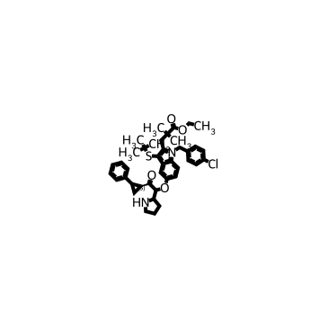 CCOC(=O)C(C)(C)Cc1c(SC(C)(C)C)c2cc(OC(C(=O)[C@H]3CC3c3ccccc3)C3CCCN3)ccc2n1Cc1ccc(Cl)cc1